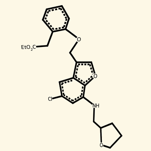 CCOC(=O)Cc1ccccc1OCc1coc2c(NCC3CCCO3)cc(Cl)cc12